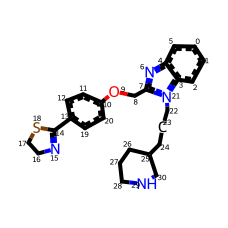 c1ccc2c(c1)nc(COc1ccc(C3=NCCS3)cc1)n2CCCC1CCCNC1